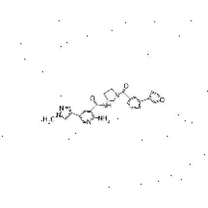 Cn1cc(-c2cnc(N)c(C(=O)N[C@@H]3CCN(C(=O)c4cccc(-c5ccoc5)c4)C3)c2)cn1